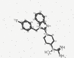 CN(C(=N)N)C1CCN(c2nc3ccccc3n2Cc2ccc(F)cc2)CC1